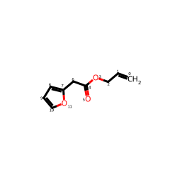 C=CCOC(=O)Cc1ccco1